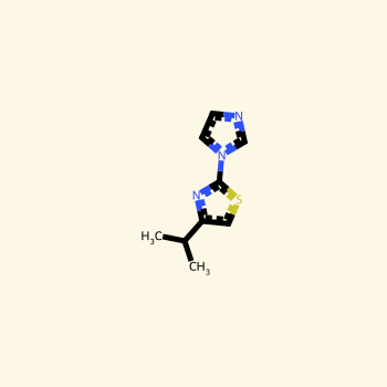 CC(C)c1csc(-n2ccnc2)n1